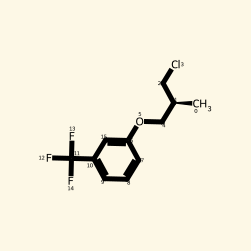 C[C@H](CCl)COc1cccc(C(F)(F)F)c1